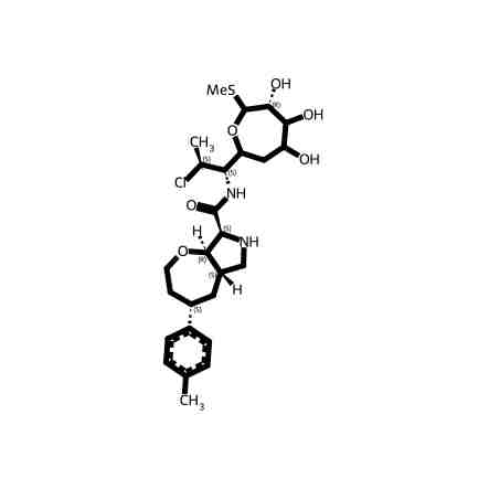 CSC1OC([C@H](NC(=O)[C@H]2NC[C@@H]3C[C@H](c4ccc(C)cc4)CCO[C@H]32)[C@H](C)Cl)CC(O)C(O)[C@H]1O